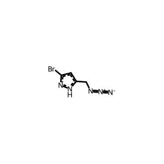 [N-]=[N+]=NCc1cc(Br)n[nH]1